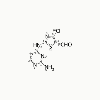 Nc1nccc(Nc2nc(Cl)c(C=O)s2)n1